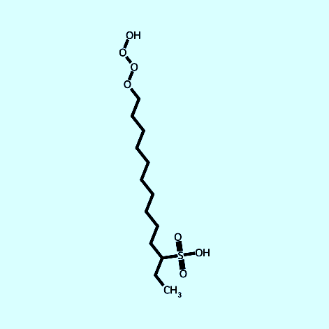 CCC(CCCCCCCCCCOOOO)S(=O)(=O)O